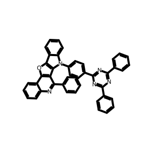 c1ccc(-c2nc(-c3ccccc3)nc(-c3ccc(-n4c5ccccc5c5oc6c7ccccc7nc(-c7ccccc7)c6c54)cc3)n2)cc1